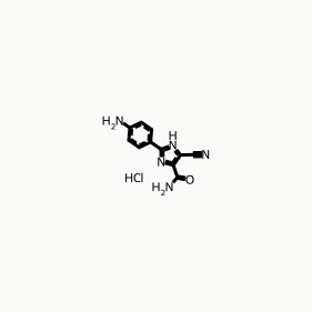 Cl.N#Cc1[nH]c(-c2ccc(N)cc2)nc1C(N)=O